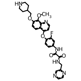 COc1c(OCC2CCNCC2)ccc2c(Oc3ccc(NC(=O)C(=O)NCc4cnccn4)cc3F)ccnc12